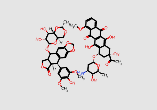 COc1cc([C@@H]2c3cc4c(cc3C(O[C@@H]3O[C@@H]5CO[C@@H](C)O[C@H]5[C@H](O)[C@H]3O)C3COC(=O)[C@@H]32)OCO4)cc(OC)c1O.COc1cccc2c1C(=O)c1c(O)c3c(c(O)c1C2=O)C[C@@](O)(C(C)=O)C[C@@H]3O[C@H]1C[C@H](N)[C@H](O)[C@H](C)O1